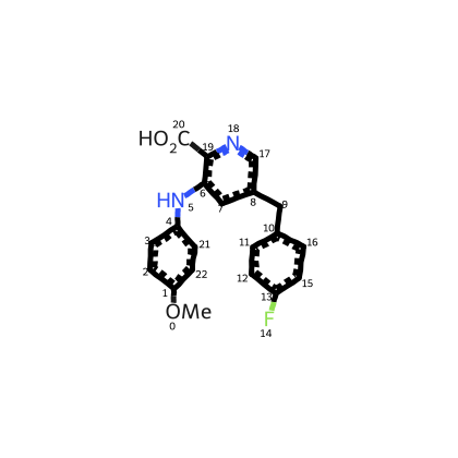 COc1ccc(Nc2cc(Cc3ccc(F)cc3)cnc2C(=O)O)cc1